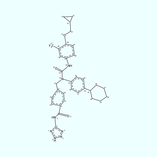 O=C(Nc1nn[nH]n1)c1ccc(CN(C(=O)Nc2ccc(OCC3CC3)c(C(F)(F)F)c2)c2ccc(C3CCCCC3)cc2)cc1